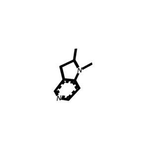 CC1Cc2cnccc2N1C